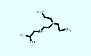 CCCN(CCN)CCNCC(C)O